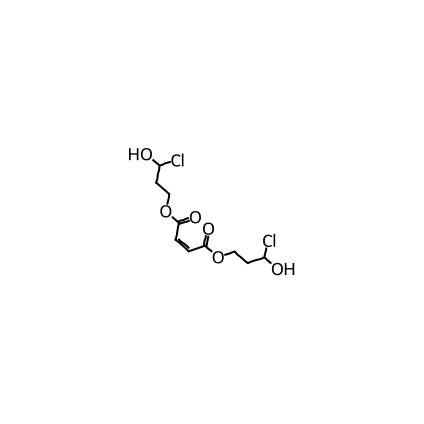 O=C(/C=C\C(=O)OCCC(O)Cl)OCCC(O)Cl